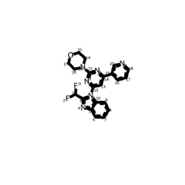 FC(F)c1nc2ccccc2n1-c1cc(-c2cccnc2)nc(N2CCOCC2)n1